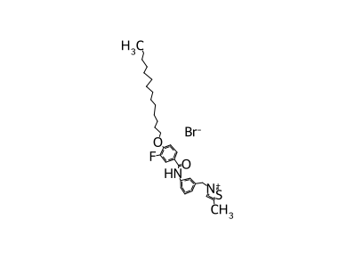 CCCCCCCCCCCCCCOc1ccc(C(=O)Nc2cccc(C[n+]3csc(C)c3)c2)cc1F.[Br-]